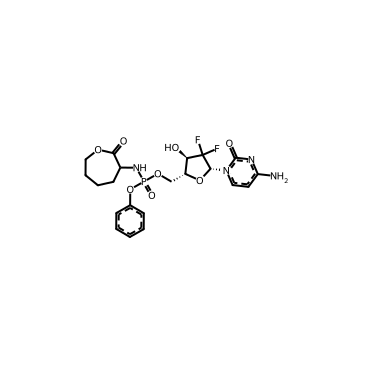 Nc1ccn([C@@H]2O[C@H](COP(=O)(NC3CCCCOC3=O)Oc3ccccc3)[C@@H](O)C2(F)F)c(=O)n1